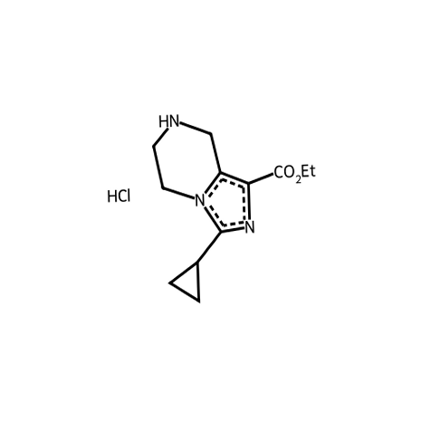 CCOC(=O)c1nc(C2CC2)n2c1CNCC2.Cl